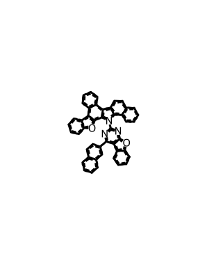 c1ccc2cc(-c3nc(-n4c5c6ccccc6ccc5c5c6ccccc6c6c7ccccc7oc6c54)nc4oc5ccccc5c34)ccc2c1